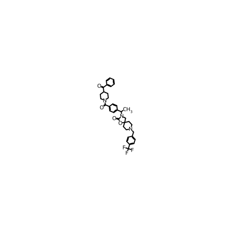 CC(c1ccc(C(=O)N2CCC(C(=O)c3ccccc3)CC2)cc1)N1CC2(CCN(Cc3ccc(C(F)(F)F)cc3)CC2)OC1=O